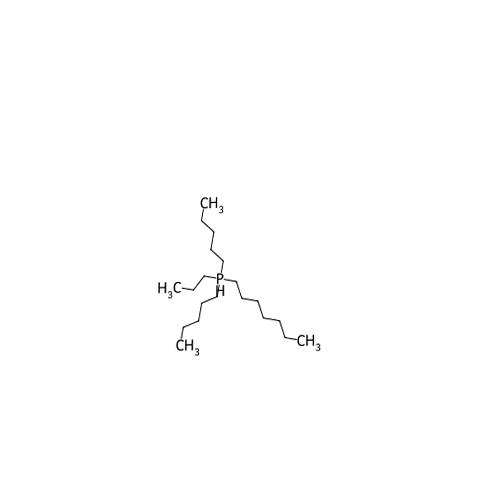 CCCCCCC[PH](CCC)(CCCCC)CCCCC